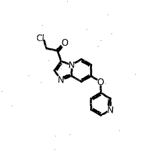 O=C(CCl)c1cnc2cc(Oc3cccnc3)ccn12